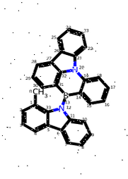 Cc1cccc2c3ccccc3n(B3c4ccccc4-n4c5ccccc5c5cccc3c54)c12